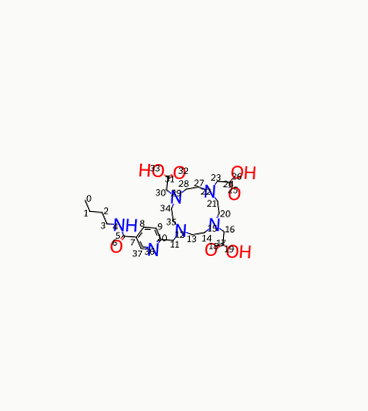 CCCCNC(=O)c1ccc(CN2CCN(CC(=O)O)CCN(CC(=O)O)CCN(CC(=O)O)CC2)nc1